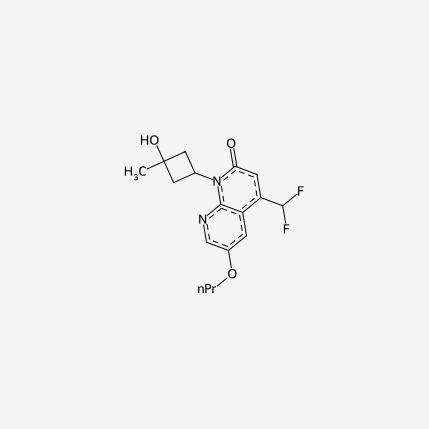 CCCOc1cnc2c(c1)c(C(F)F)cc(=O)n2C1CC(C)(O)C1